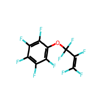 FC(F)=C(F)C(F)(F)Oc1c(F)c(F)c(F)c(F)c1F